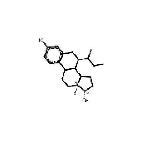 CCC(C)C1Cc2cc(O)ccc2C2CC[C@@]3(C)C(CC[C@@H]3O)C21